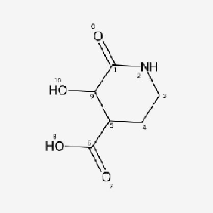 O=C1NCCC(C(=O)O)C1O